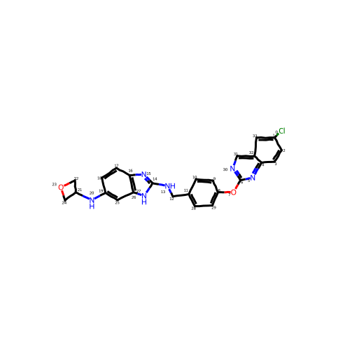 Clc1ccc2nc(Oc3ccc(CNc4nc5ccc(NC6COC6)cc5[nH]4)cc3)ncc2c1